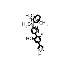 CN(c1ccc(-c2c(O)cc(-c3cn[nH]c3)cc2F)nn1)[C@@H]1C[C@]2(C)CC[C@](C)(C1)N2